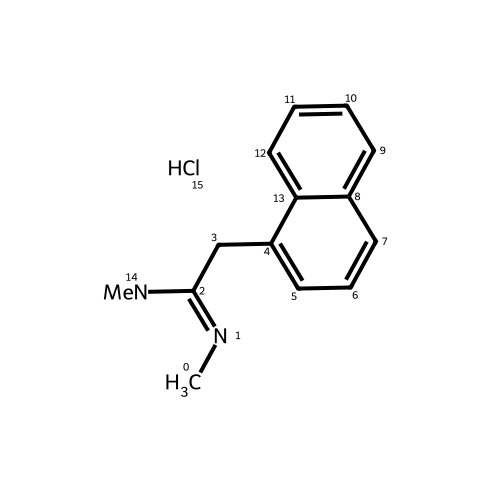 CN=C(Cc1cccc2ccccc12)NC.Cl